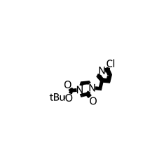 CC(C)(C)OC(=O)N1CCN(Cc2ccc(Cl)nc2)C(=O)C1